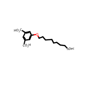 CCCCCCCCCCCCCCCCCCOc1cc(C(=O)O)cc(C(=O)O)c1